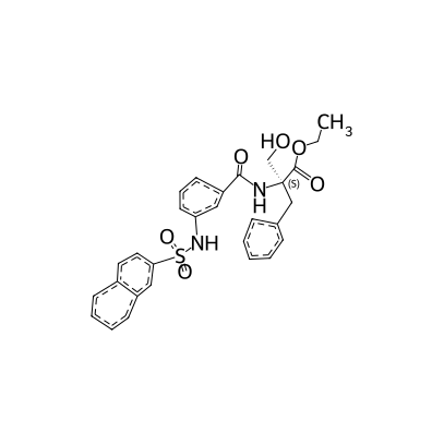 CCOC(=O)[C@@](CO)(Cc1ccccc1)NC(=O)c1cccc(NS(=O)(=O)c2ccc3ccccc3c2)c1